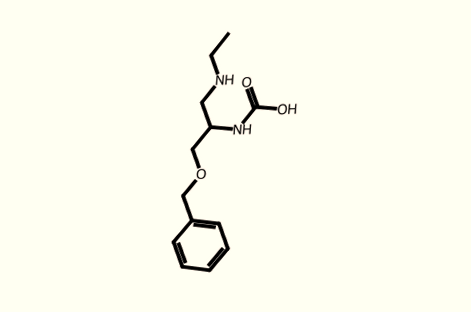 CCNCC(COCc1ccccc1)NC(=O)O